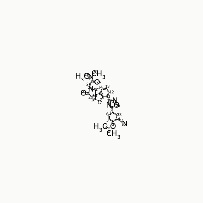 CC(C)Oc1ccc(-c2nc(-c3cccc4c3CCC43CC(=O)N(CC(=O)N(C)C)C3)no2)cc1C#N